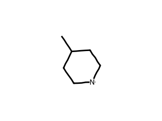 CC1CC[N]CC1